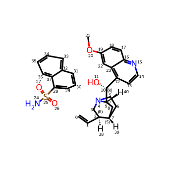 C=C[C@H]1CN2CC[C@H]1C[C@H]2[C@H](O)c1ccnc2ccc(OC)cc12.NS(=O)(=O)c1cccc2ccccc12